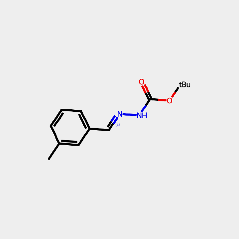 Cc1cccc(/C=N/NC(=O)OC(C)(C)C)c1